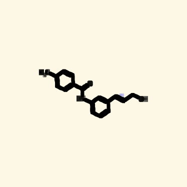 Cc1ccc(C(=O)Nc2cccc(/C=C/CO)c2)cc1